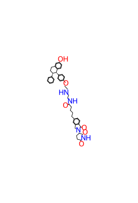 O=C(CCCCc1ccc2c(c1)CN(C1CCC(=O)NC1=O)C2=O)NCCNCCOc1ccc([C@@H]2c3ccc(O)cc3CC[C@@H]2c2ccccc2)cc1